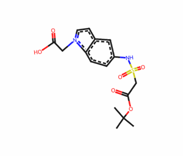 CC(C)(C)OC(=O)CS(=O)(=O)Nc1ccc2c(ccn2CC(=O)O)c1